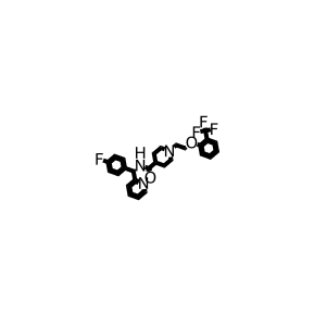 O=C(N[C@@H](c1ccc(F)cc1)c1ccccn1)C1CCN(CCOc2ccccc2C(F)(F)F)CC1